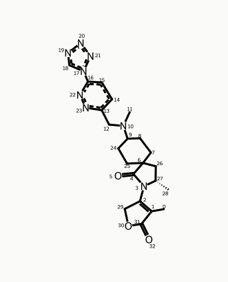 CC1=C(N2C(=O)C3(CCC(N(C)Cc4ccc(-n5cnnn5)nn4)CC3)C[C@@H]2C)COC1=O